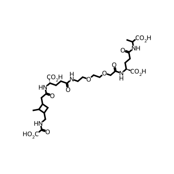 CC(NC(=O)CC[C@H](NC(=O)COCCOCCNC(=O)CC[C@H](NC(=O)CC1CC(CNC(=O)C(=O)O)C1C)C(=O)O)C(=O)O)C(=O)O